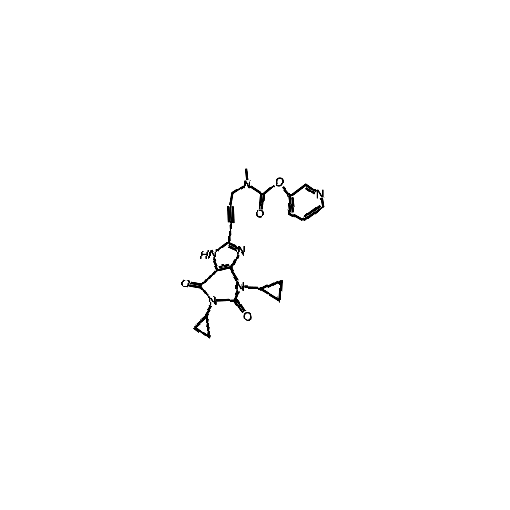 CN(CC#Cc1nc2c([nH]1)c(=O)n(C1CC1)c(=O)n2C1CC1)C(=O)Oc1cccnc1